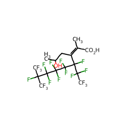 CC(C(=O)O)=C(CC(C)O)C(F)(C(F)(F)C(F)(F)F)C(F)(F)C(F)(F)C(F)(F)C(F)(C(F)(F)F)C(F)(F)F